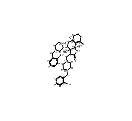 CC1=C2[C@@H]3OC(=O)C(CN4CCN(Cc5ccccc5F)CC4)C3(O)CC[C@@]2(C)CCC1.Fc1ccccc1CN1CCNCC1